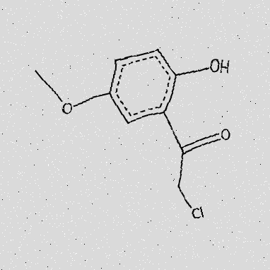 COc1ccc(O)c(C(=O)CCl)c1